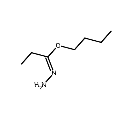 CCCCOC(CC)=NN